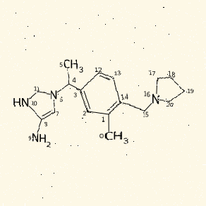 Cc1cc(C(C)N2C=C(N)NC2)ccc1CN1CCCC1